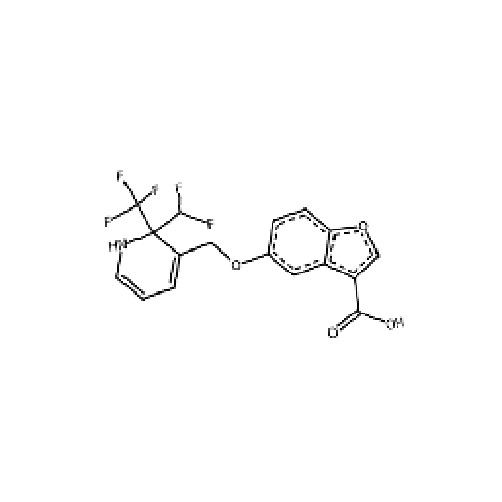 O=C(O)c1coc2ccc(OCC3=CC=CNC3(C(F)F)C(F)(F)F)cc12